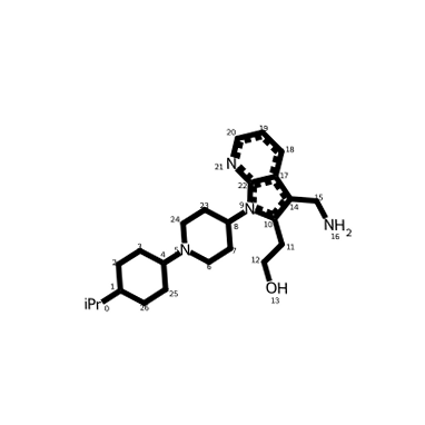 CC(C)C1CCC(N2CCC(n3c(CCO)c(CN)c4cccnc43)CC2)CC1